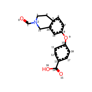 O=CN1CCc2ccc(Oc3ccc(C(=O)O)cc3)cc2C1